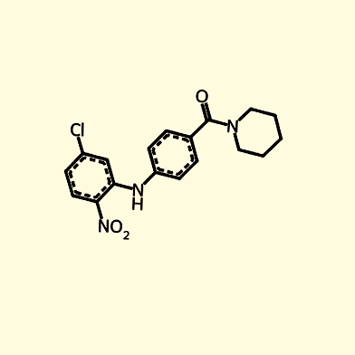 O=C(c1ccc(Nc2cc(Cl)ccc2[N+](=O)[O-])cc1)N1CCCCC1